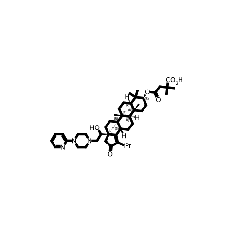 CC(C)C1=C2[C@H]3CC[C@@H]4[C@@]5(C)CC[C@H](OC(=O)CC(C)(C)C(=O)O)C(C)(C)[C@@H]5CC[C@@]4(C)[C@]3(C)CC[C@@]2(C(O)CN2CCN(c3ccccn3)CC2)CC1=O